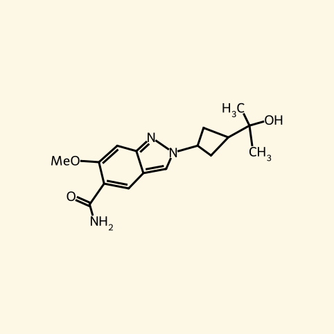 COc1cc2nn(C3CC(C(C)(C)O)C3)cc2cc1C(N)=O